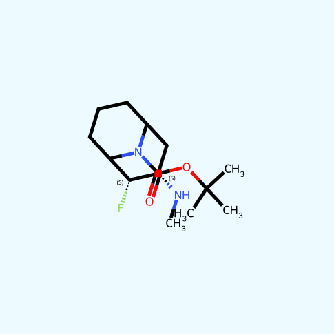 CN[C@H]1CC2CCCC([C@H]1F)N2C(=O)OC(C)(C)C